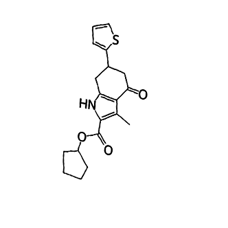 Cc1c(C(=O)OC2CCCC2)[nH]c2c1C(=O)CC(c1cccs1)C2